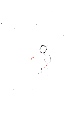 COCCOC1CC[S+](c2ccccc2)C1.O=S(=O)([O-])C(F)(F)F